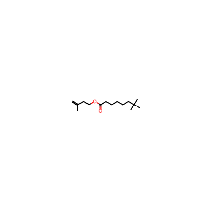 C=C(C)CCOC(=O)CCCCCC(C)(C)C